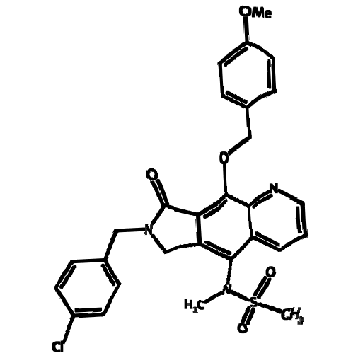 COc1ccc(COc2c3c(c(N(C)S(C)(=O)=O)c4cccnc24)CN(Cc2ccc(Cl)cc2)C3=O)cc1